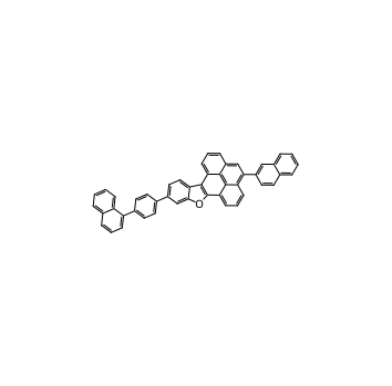 c1ccc2cc(-c3cc4cccc5c6c7ccc(-c8ccc(-c9cccc%10ccccc9%10)cc8)cc7oc6c6cccc3c6c45)ccc2c1